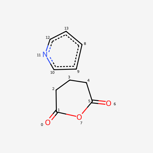 O=C1CCCC(=O)O1.c1ccncc1